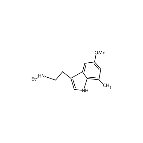 CCNCCc1c[nH]c2c(C)cc(OC)cc12